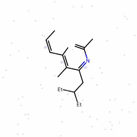 C=C(C)\N=C(CC(CC)CC)/C(C)=C(C)/C=C\C